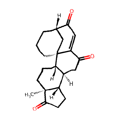 C[C@]12CC[C@H]3[C@@H](CC(=O)C4=CC(=O)[C@H]5CCC[C@]43C5)[C@@H]1CCC2=O